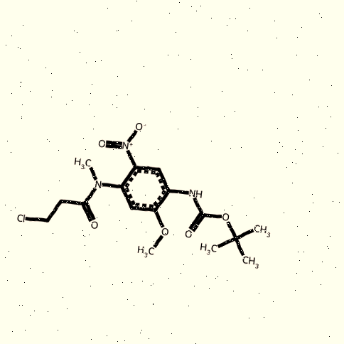 COc1cc(N(C)C(=O)CCCl)c([N+](=O)[O-])cc1NC(=O)OC(C)(C)C